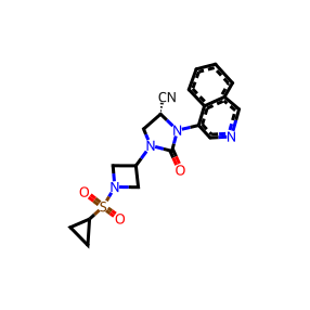 N#C[C@H]1CN(C2CN(S(=O)(=O)C3CC3)C2)C(=O)N1c1cncc2ccccc12